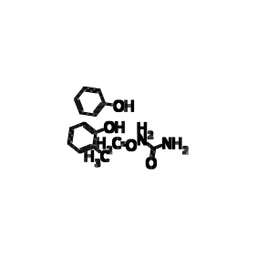 C=O.Cc1ccccc1O.NC(N)=O.Oc1ccccc1